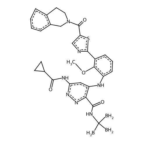 BC(B)(B)NC(=O)c1nnc(NC(=O)C2CC2)cc1Nc1cccc(-c2ncc(C(=O)N3CCc4ccccc4C3)s2)c1OC